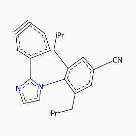 CC(C)Cc1cc(C#N)cc(CC(C)C)c1-n1ccnc1-c1cc#ccc1